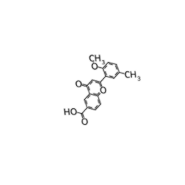 COc1ccc(C)cc1-c1cc(=O)c2cc(C(=O)O)ccc2o1